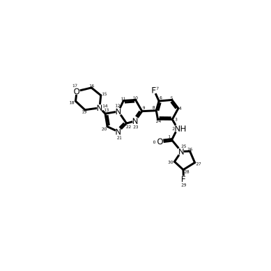 O=C(Nc1ccc(F)c(-c2ccn3c(N4CCOCC4)cnc3n2)c1)N1CCC(F)C1